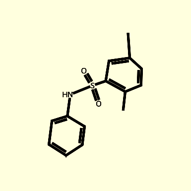 Cc1ccc(C)c(S(=O)(=O)Nc2cc[c]cc2)c1